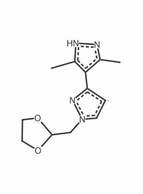 Cc1n[nH]c(C)c1-c1[c]cn(CC2OCCO2)n1